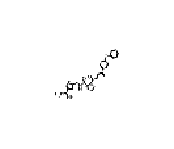 C=C(CCC(=O)N1CCC[C@H]1C(=O)NCc1cc(C(=N)N)cs1)c1ccc(Oc2ccccc2)cc1